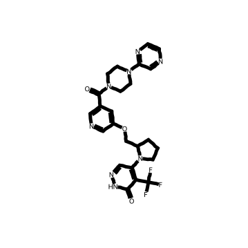 O=C(c1cncc(OCC2CCCN2c2cn[nH]c(=O)c2C(F)(F)F)c1)N1CCN(c2cnccn2)CC1